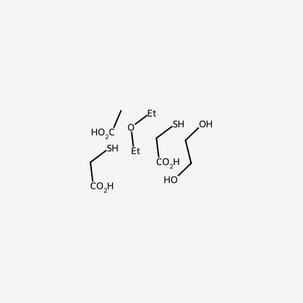 CC(=O)O.CCOCC.O=C(O)CS.O=C(O)CS.OCCO